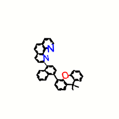 CC1(C)c2ccccc2Oc2c(-c3ccc(-c4ccc5ccc6cccnc6c5n4)c4ccccc34)cccc21